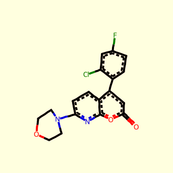 O=c1cc(-c2ccc(F)cc2Cl)c2ccc(N3CCOCC3)nc2o1